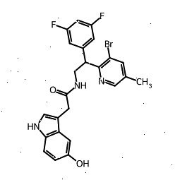 Cc1cnc(C(CNC(=O)Cc2c[nH]c3ccc(O)cc23)c2cc(F)cc(F)c2)c(Br)c1